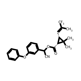 C/C(=C\[C@H]1[C@@H](C(=O)OC(C#N)c2cccc(Oc3ccccc3)c2)C1(C)C)C(F)(F)F